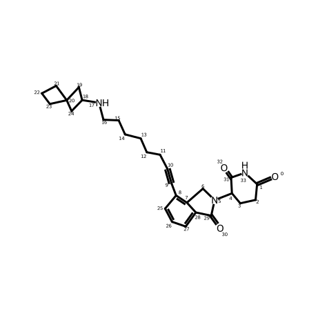 O=C1CCC(N2Cc3c(C#CCCCCCCNC4CC5(CCC5)C4)cccc3C2=O)C(=O)N1